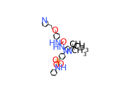 CC(C)(C)c1cc(NC(=O)Nc2ccc(OCCc3cccnc3)cc2)n(-c2ccc(S(=O)(=O)ONc3ccccc3)cc2)n1